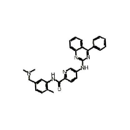 Cc1ccc(CN(C)C)cc1NC(=O)c1ccc(Nc2nc(-c3ccccc3)c3ccccc3n2)cn1